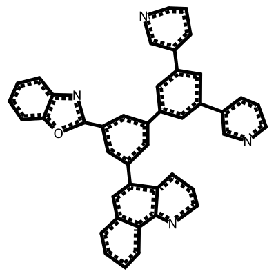 c1cncc(-c2cc(-c3cccnc3)cc(-c3cc(-c4nc5ccccc5o4)cc(-c4cc5ccccc5c5ncccc45)c3)c2)c1